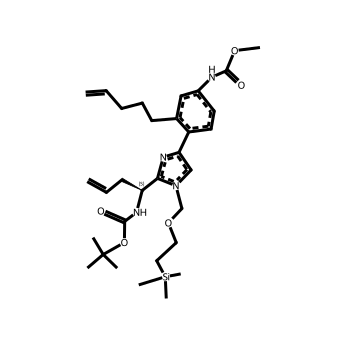 C=CCCCc1cc(NC(=O)OC)ccc1-c1cn(COCC[Si](C)(C)C)c([C@H](CC=C)NC(=O)OC(C)(C)C)n1